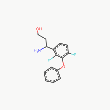 NC(CCO)c1ccc(F)c(Oc2ccccc2)c1F